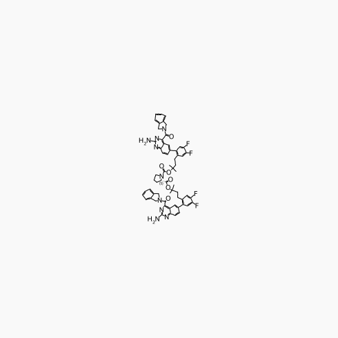 CC(C)(CCc1cc(F)c(F)cc1-c1ccc2nc(N)nc(C(=O)N3Cc4ccccc4C3)c2c1)OC(=O)[C@@H]1CCCN1C(=O)OC(C)(C)CCc1cc(F)c(F)cc1-c1ccc2nc(N)nc(C(=O)N3Cc4ccccc4C3)c2c1